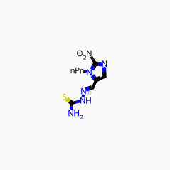 CCCn1c(/C=N/NC(N)=S)cnc1[N+](=O)[O-]